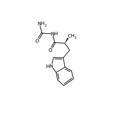 C[C@@H](Cc1c[nH]c2ccccc12)C(=O)NC(N)=O